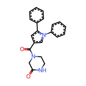 O=C1CN(C(=O)c2cc(-c3ccccc3)n(-c3ccccc3)c2)CCN1